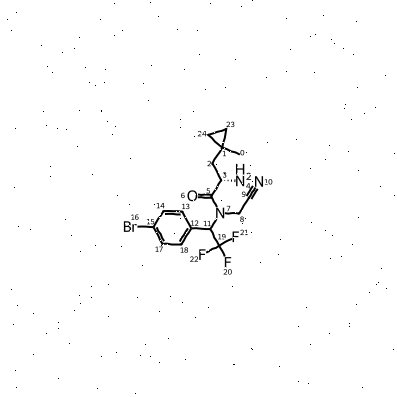 CC1(C[C@H](N)C(=O)N(CC#N)C(c2ccc(Br)cc2)C(F)(F)F)CC1